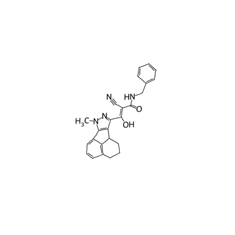 Cn1nc(/C(O)=C(\C#N)C(=O)NCc2ccccc2)c2c1-c1cccc3c1C2CCC3